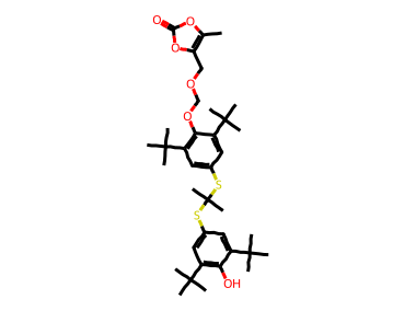 Cc1oc(=O)oc1COCOc1c(C(C)(C)C)cc(SC(C)(C)Sc2cc(C(C)(C)C)c(O)c(C(C)(C)C)c2)cc1C(C)(C)C